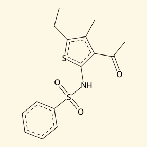 CCc1sc(NS(=O)(=O)c2ccccc2)c(C(C)=O)c1C